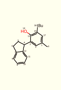 Cc1cc(C2CCc3ccccc32)c(O)c(C(C)(C)C)c1